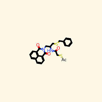 CC(=O)SCC(=O)NC(CSCc1ccccc1)CN1C(=O)c2cccc3cccc(c23)C1=O